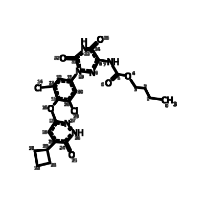 CCCCOC(=O)Nc1nn(-c2cc(Cl)c(Oc3cc(C4CCC4)c(=O)[nH]n3)c(Cl)c2)c(=O)[nH]c1=O